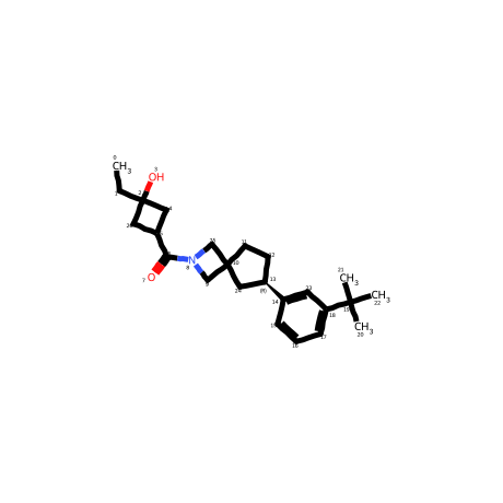 CCC1(O)CC(C(=O)N2CC3(CC[C@@H](c4cccc(C(C)(C)C)c4)C3)C2)C1